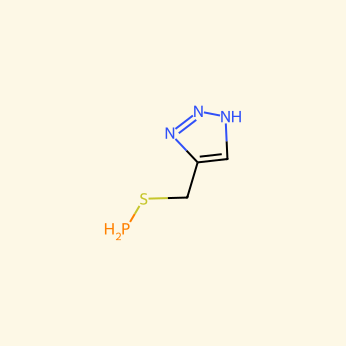 PSCc1c[nH]nn1